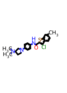 Cc1ccc2c(Cl)c(C(=O)Nc3ccc(N4CCC(N(C)C)C4)cc3)sc2c1